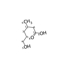 C[C](CCCO)CC(=O)O